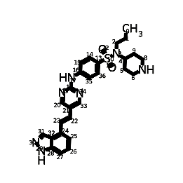 CCCN(C1CCNCC1)S(=O)(=O)c1ccc(Nc2ncc(/C=C/c3cccc4[nH]ncc34)cn2)cc1